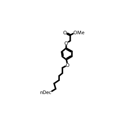 CCCCCCCCCCCCCCCCOc1ccc(OCC(=O)OC)cc1